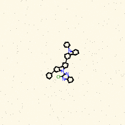 Clc1nc2ccccc2nc1-n1c2ccc(-c3ccc4c(c3)c3ccccc3n4-c3ccccc3)cc2c2ccc(-c3ccccc3)cc21